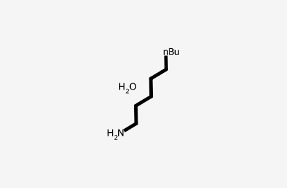 CCCCCCCCCN.O